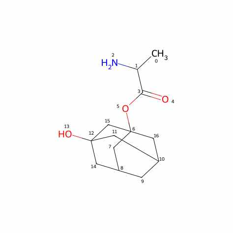 CC(N)C(=O)OC12CC3CC(CC(O)(C3)C1)C2